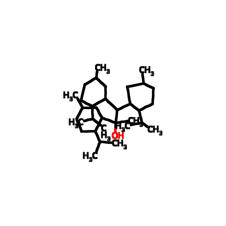 CC1CCC(C(C)C)C(C(C2CC(C)CCC2C(C)C)C(C)(O)C2CC(C)CCC2C(C)C)C1